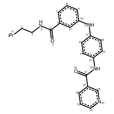 CC(C)CCNC(=O)c1cccc(Nc2ccc(NC(=O)c3cccnc3)cc2)c1